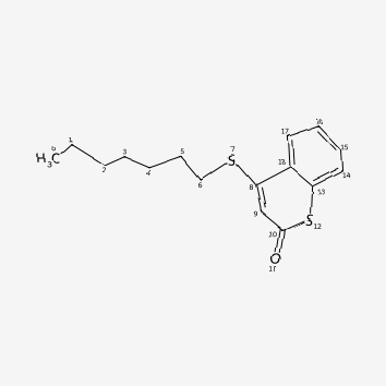 CCCCCCCSc1cc(=O)sc2ccccc12